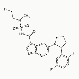 CN(CCF)S(=O)(=O)NC(=O)c1cnn2ccc(N3CCCC3c3cc(F)ccc3F)cc12